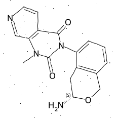 Cn1c(=O)n(-c2cc[c]c3c2C[C@@H](N)OC3)c(=O)c2ccncc21